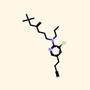 C#CCCc1cnc(N(CCC)CCCC(=C)CC(C)(C)C)c(Cl)c1